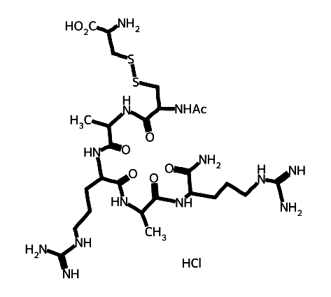 CC(=O)NC(CSSCC(N)C(=O)O)C(=O)NC(C)C(=O)NC(CCCNC(=N)N)C(=O)NC(C)C(=O)NC(CCCNC(=N)N)C(N)=O.Cl